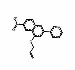 C=CCOc1cc(-c2ccccc2)cc2ccc([N+](=O)[O-])cc12